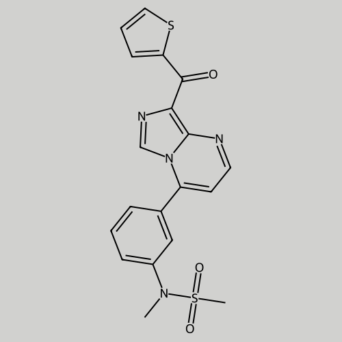 CN(c1cccc(-c2ccnc3c(C(=O)c4cccs4)ncn23)c1)S(C)(=O)=O